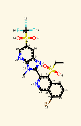 CCS(=O)(=O)c1c(-c2nc3cc(S(=O)(=O)C(F)(F)F)cnc3n2C)ncc2c(Br)cccc12